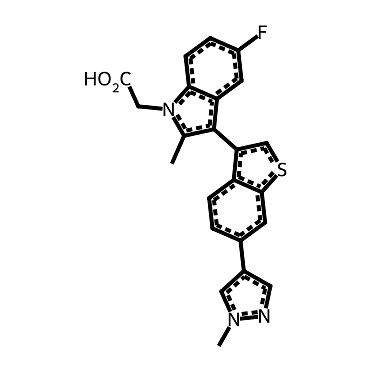 Cc1c(-c2csc3cc(-c4cnn(C)c4)ccc23)c2cc(F)ccc2n1CC(=O)O